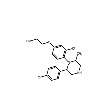 CC1CNCC(c2ccc(Cl)cc2)N1c1ccc(OCCO)cc1Cl